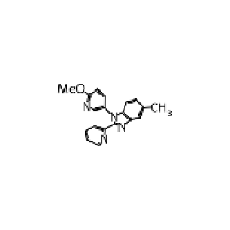 COc1ccc(-n2c(-c3ccccn3)nc3cc(C)ccc32)cn1